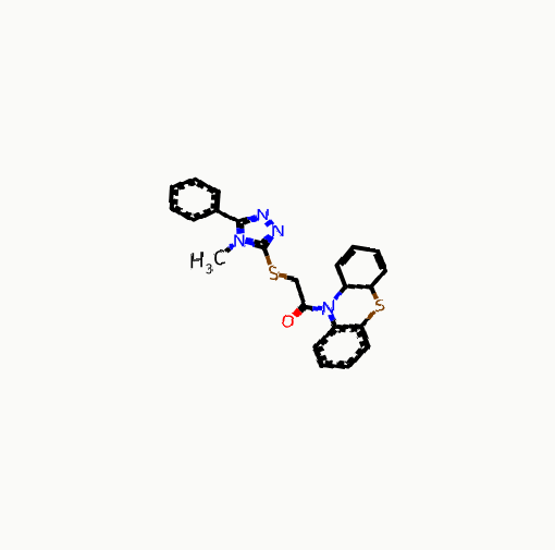 Cn1c(SCC(=O)N2c3ccccc3SC3C=CC=CC32)nnc1-c1ccccc1